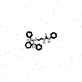 S=C(NCCSP1N(c2ccccc2)[C@@H]2CCCC[C@H]2N1c1ccccc1)Nc1ccccc1